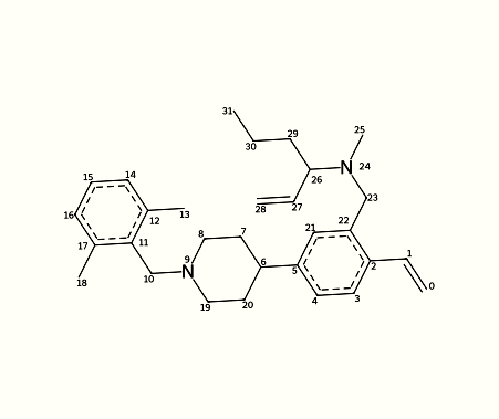 C=Cc1ccc(C2CCN(Cc3c(C)cccc3C)CC2)cc1CN(C)C(C=C)CCC